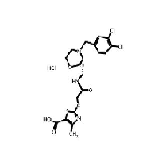 Cc1nc(SCC(=O)NC[C@H]2CN(Cc3ccc(Cl)c(Cl)c3)CCO2)sc1C(=O)O.Cl